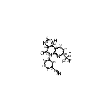 N#Cc1cccc(-n2c(=O)c3nc[nH]c3c3ccc(C(F)(F)F)nc32)c1